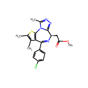 CCCOC(=O)C[C@H]1N=C(c2ccc(Cl)cc2)c2c(sc(C)c2C)-n2c(C)nnc21